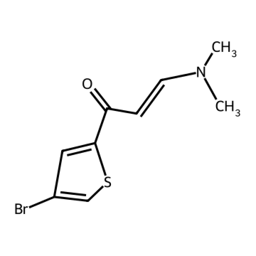 CN(C)C=CC(=O)c1cc(Br)cs1